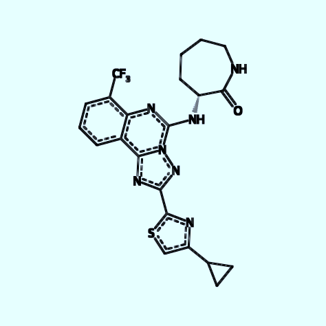 O=C1NCCCC[C@H]1Nc1nc2c(C(F)(F)F)cccc2c2nc(-c3nc(C4CC4)cs3)nn12